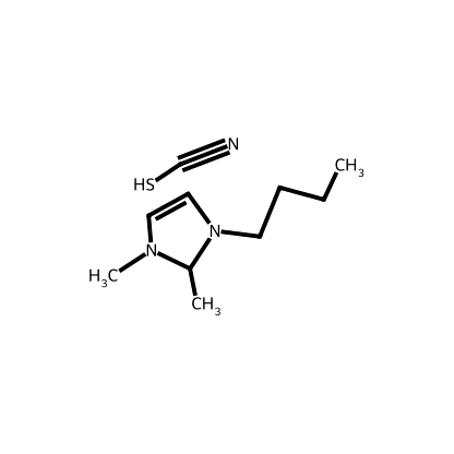 CCCCN1C=CN(C)C1C.N#CS